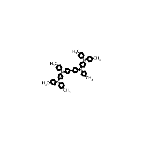 Cc1ccc(N(C2=CCC(c3ccc(N(c4ccc(C)cc4)c4ccc(N(c5ccc(C)cc5)c5ccc(C)cc5)cc4)cc3)C=C2)c2ccc(N(c3ccc(C)cc3)c3ccc(C)cc3)cc2)cc1